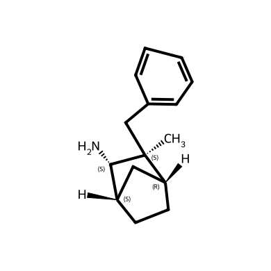 C[C@]1(Cc2ccccc2)[C@@H]2CC[C@@H](C2)[C@@H]1N